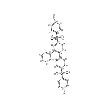 O=S(=O)(c1ccc(F)cc1)c1ccc(-c2ccc(S(=O)(=O)c3ccc(F)cc3)cc2-c2ccccc2)cc1